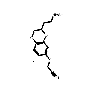 C#CCSc1ccc2c(c1)OC(CCNC(C)=O)CO2